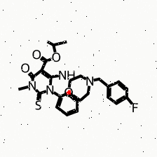 CC(C)OC(=O)c1c(NC2CN(Cc3ccc(F)cc3)CCO2)n(-c2ccccc2)c(=S)n(C)c1=O